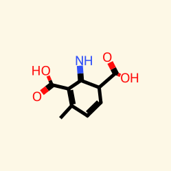 CC1=C(C(=O)O)C(=N)C(C(=O)O)C=C1